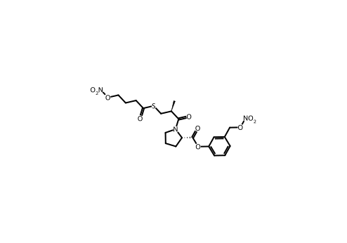 C[C@H](CSC(=O)CCCO[N+](=O)[O-])C(=O)N1CCC[C@H]1C(=O)Oc1cccc(CO[N+](=O)[O-])c1